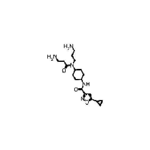 NCCCN(C(=O)CCN)C1CCC(NC(=O)c2cc(C3CC3)on2)CC1